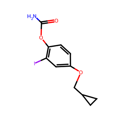 NC(=O)Oc1ccc(OCC2CC2)cc1I